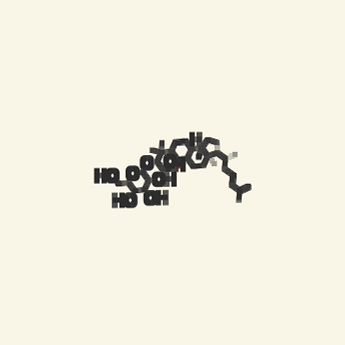 C=C(C)/C=C/C[C@@H](C)[C@H]1CC[C@@]2(C)[C@@H]3C=C[C@@]45OC[C@]3(CC[C@]12C)[C@@H]4CC[C@H](O[C@@H]1O[C@H](CO)[C@@H](O)[C@@H](O)[C@H]1O)C5(C)C